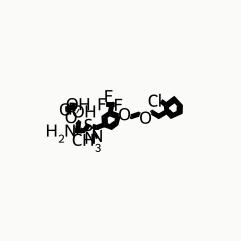 C[C@](N)(COP(=O)(O)O)c1nnc(-c2ccc(OCCOCCc3ccccc3Cl)c(C(F)(F)F)c2)s1